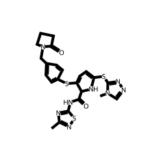 Cc1nsc(NC(=O)C2NC(Sc3nncn3C)=CC=C2Sc2ccc(CN3CCCC3=O)cc2)n1